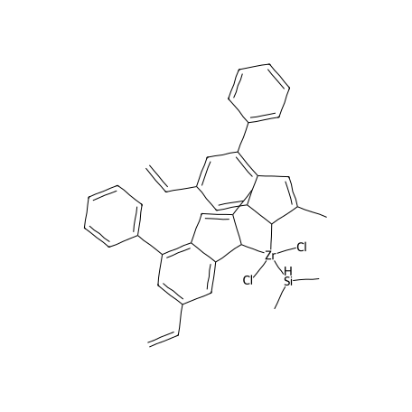 C=Cc1cc(-c2ccccc2)c2c(c1)[CH]([Zr]([Cl])([Cl])([CH]1C(C)=Cc3c(-c4ccccc4)cc(C=C)cc31)[SiH](C)C)C(C)=C2